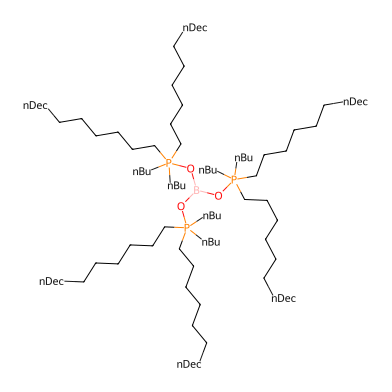 CCCCCCCCCCCCCCCCP(CCCC)(CCCC)(CCCCCCCCCCCCCCCC)OB(OP(CCCC)(CCCC)(CCCCCCCCCCCCCCCC)CCCCCCCCCCCCCCCC)OP(CCCC)(CCCC)(CCCCCCCCCCCCCCCC)CCCCCCCCCCCCCCCC